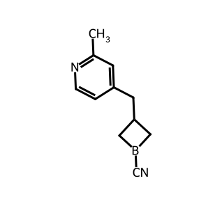 Cc1cc(CC2CB(C#N)C2)ccn1